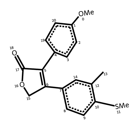 COc1ccc(C2=C(c3ccc(SC)c(C)c3)COC2=O)cc1